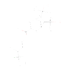 CCC(O)(CC)C1C2CC(C(=O)OCCC(F)C(F)(F)S(=O)(=O)O)CC(C2)C1C(O)(CC)CC